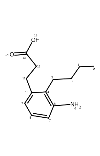 CCCCc1c(N)cccc1CCC(=O)O